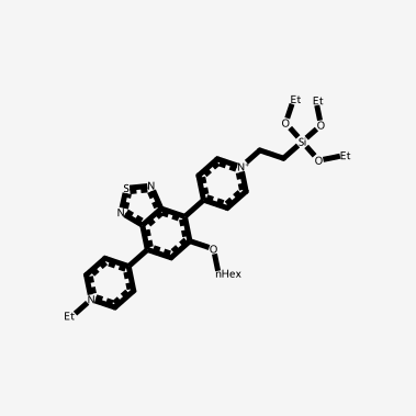 CCCCCCOc1cc(-c2cc[n+](CC)cc2)c2nsnc2c1-c1cc[n+](CC[Si](OCC)(OCC)OCC)cc1